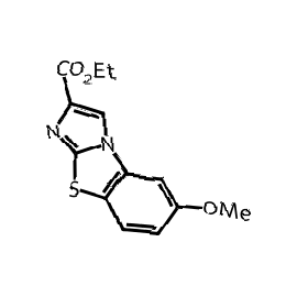 CCOC(=O)c1cn2c(n1)sc1ccc(OC)cc12